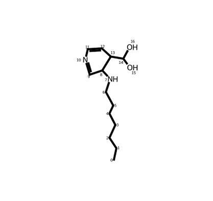 CCCCCCCNC1C=NC=CC1C(O)O